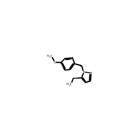 CCc1ccnn1Cc1ccc(OC)cc1